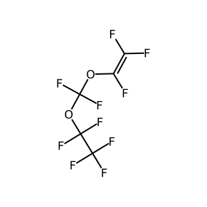 FC(F)=C(F)OC(F)(F)OC(F)(F)C(F)(F)F